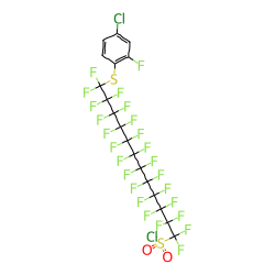 O=S(=O)(Cl)C(F)(F)C(F)(F)C(F)(F)C(F)(F)C(F)(F)C(F)(F)C(F)(F)C(F)(F)C(F)(F)C(F)(F)C(F)(F)C(F)(F)Sc1ccc(Cl)cc1F